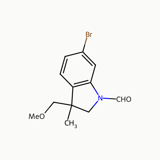 COCC1(C)CN(C=O)c2cc(Br)ccc21